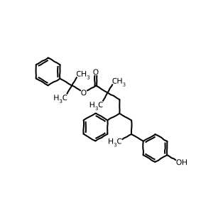 CC(CC(CC(C)(C)C(=O)OC(C)(C)c1ccccc1)c1ccccc1)c1ccc(O)cc1